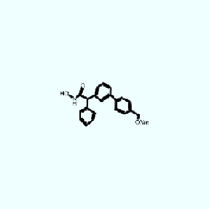 COCc1ccc(-c2cccc(C(C(=O)NO)c3ccccc3)c2)cc1